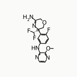 COc1nccnc1Nc1ccc(F)c([C@]2(C(F)F)COCC(N)=N2)c1